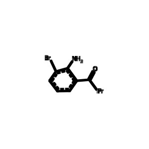 CC(C)C(=O)c1cccc(Br)c1N